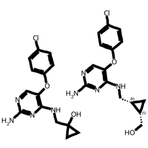 Nc1ncc(Oc2ccc(Cl)cc2)c(NCC2(O)CC2)n1.Nc1ncc(Oc2ccc(Cl)cc2)c(NC[C@@H]2C[C@@H]2CO)n1